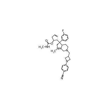 CNC[C@@](c1cccc(F)c1)(C1CCN(CC2CN(c3ccc(C#N)cc3)C2)CC1)[C@H]1C=CC[C@@H]1OC(=O)NC